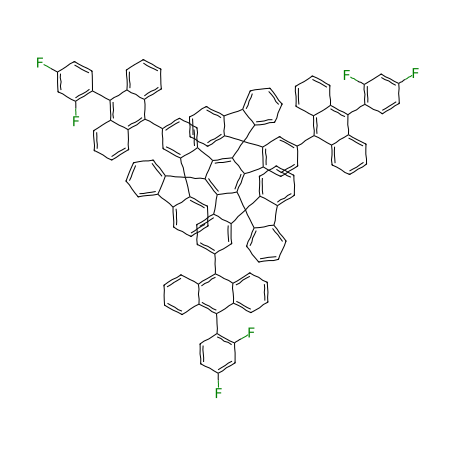 Fc1ccc(-c2c3ccccc3c(-c3ccc4c(c3)C3(c5ccccc5-c5ccccc53)c3c-4c4c(c5c3-c3ccc(-c6c7ccccc7c(-c7ccc(F)cc7F)c7ccccc67)cc3C53c5ccccc5-c5ccccc53)-c3ccc(-c5c6ccccc6c(-c6ccc(F)cc6F)c6ccccc56)cc3C43c4ccccc4-c4ccccc43)c3ccccc23)c(F)c1